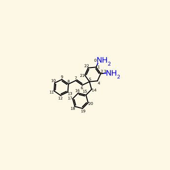 NC1=C(N)CC(C=Cc2ccccc2)(Cc2ccccc2)C=C1